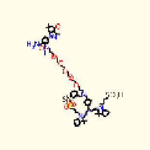 Cc1nn(-c2ccc(C(N)=O)c(NCCCOCCOCCOCCOCCOCCCN(Cc3ccc(C(=C\C=C4\N(CCCCS(=O)(=O)O)c5ccccc5C4(C)C)/C=C/C4=[N+](CCCCS(=O)(=O)[O-])c5ccccc5C4(C)C)cc3)Cc3ccc[c]([Sn]([CH3])([CH3])[CH3])c3)c2)c2c1C(=O)CC(C)(C)C2